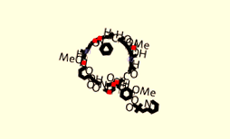 CO[C@H]1C[C@@H]2CCC[C@@](O)(O2)C(=O)C(=O)N2CCCC3[C@H]2C(=O)O[C@@H](CC(=O)[C@H](C)/C=C(\C)[C@@H](O)[C@@H](OC)C(=O)[C@H](C)C[C@H](C)C2C=CC(/C=C/1C)ON2c1ccccc1)[C@H]3C[C@@H]1CC[C@@H](OC(=O)C(C)(C)Cc2ccccn2)[C@H](OC)C1